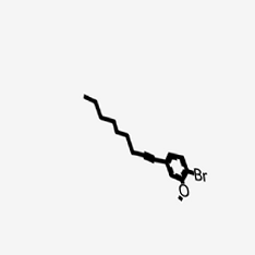 CCCCCCCC#Cc1ccc(Br)c(OC)c1